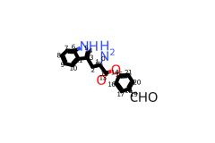 N[C@@H](Cc1c[nH]c2ccccc12)C(=O)Oc1ccc(C=O)cc1